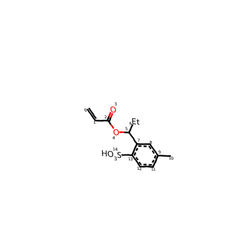 C=CC(=O)OC(CC)c1cc(C)ccc1S(=O)(=O)O